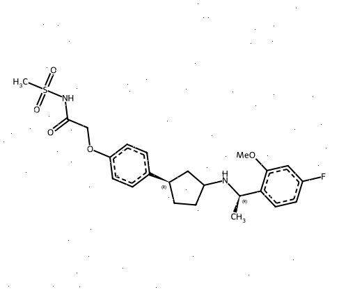 COc1cc(F)ccc1[C@@H](C)NC1CC[C@@H](c2ccc(OCC(=O)NS(C)(=O)=O)cc2)C1